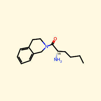 CCCC[C@H](N)C(=O)N1CCc2ccccc2C1